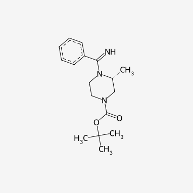 C[C@@H]1CN(C(=O)OC(C)(C)C)CCN1C(=N)c1ccccc1